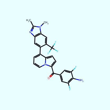 Cc1nc2cc(-c3cccn4c(C(=O)c5cc(F)c(N)c(F)c5)ccc34)c(C(F)(F)F)cc2n1C